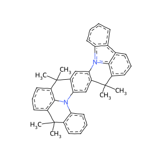 CC1(C)c2ccccc2N2c3cc4c(cc3C(C)(C)c3cccc1c32)-n1c2ccccc2c2cccc(c21)C4(C)C